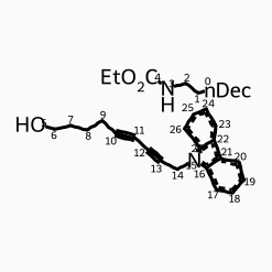 CCCCCCCCCCCCNC(=O)OCC.OCCCCC#CC#CCn1c2ccccc2c2ccccc21